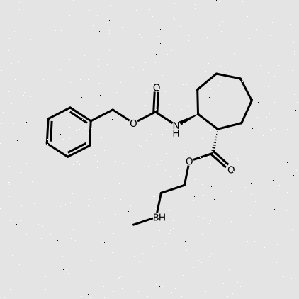 CBCCOC(=O)[C@H]1CCCCC[C@@H]1NC(=O)OCc1ccccc1